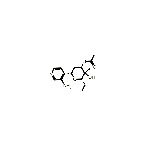 CC[C@@H]1O[C@H](c2ccncc2N)C[C@H](OC(C)=O)[C@]1(C)O